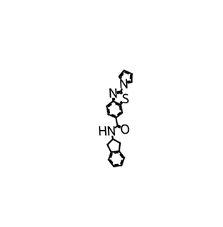 O=C(NC1Cc2ccccc2C1)c1ccc2nc(-n3cccc3)sc2c1